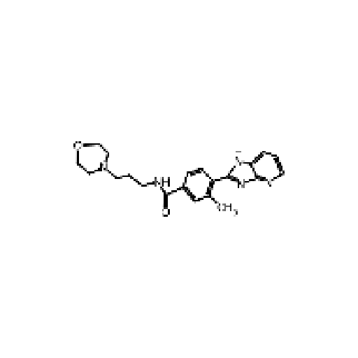 Cc1cc(C(=O)NCCCN2CCOCC2)ccc1-c1nc2ncccc2[nH]1